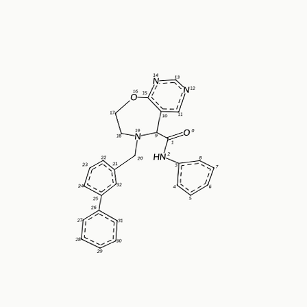 O=C(Nc1ccccc1)C1c2cncnc2OCCN1Cc1cccc(-c2ccccc2)c1